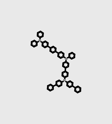 c1ccc(-c2ccc(N(c3ccc(-c4ccccc4)cc3)c3ccc(-c4ccc(N(c5ccccc5)c5ccc(-c6ccc(-c7ccc(N(c8ccccc8)c8ccccc8)cc7)cc6)cc5)cc4)cc3)cc2)cc1